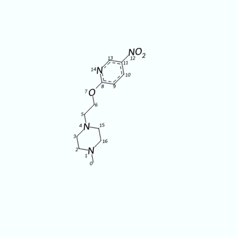 CN1CCN(CCOc2ccc([N+](=O)[O-])cn2)CC1